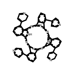 C1=NCCC(c2cccc3c4nc5nc(nc6[nH]c(nc7nc(nc([nH]4)c23)-c2cccc(-c3ccncc3)c2-7)c2cccc(C3=CC=NCC3)c62)-c2cccc(-c3ccncc3)c2-5)=C1